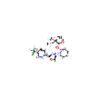 CC(C)(C)C(=O)ON1CCCC[C@@H]1c1csc(-c2ccc(C(F)(F)F)cn2)n1